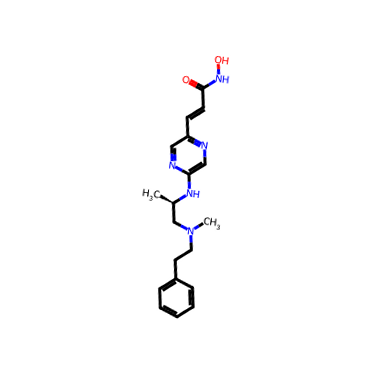 C[C@H](CN(C)CCc1ccccc1)Nc1cnc(/C=C/C(=O)NO)cn1